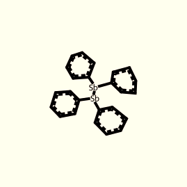 c1cc[c]([Sb]([c]2ccccc2)[Sb]([c]2ccccc2)[c]2ccccc2)cc1